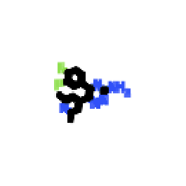 Cc1cc(-c2nnc(N)nc2-c2ccc(F)c(F)c2)cc(C)n1